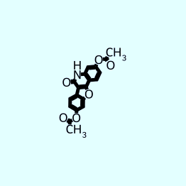 CC(=O)Oc1ccc2c(c1)[nH]c(=O)c1c3ccc(OC(C)=O)cc3oc21